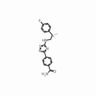 C[C@H](CNc1nc(-c2ccc(C(N)=O)cc2)ns1)c1ccc(F)cc1